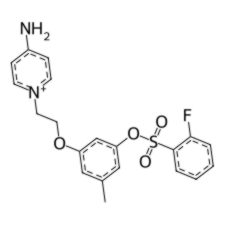 Cc1cc(OCC[n+]2ccc(N)cc2)cc(OS(=O)(=O)c2ccccc2F)c1